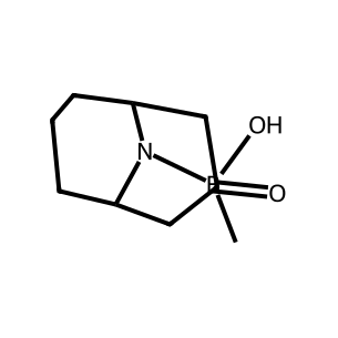 CB(O)N1C2CCCC1CC(=O)C2